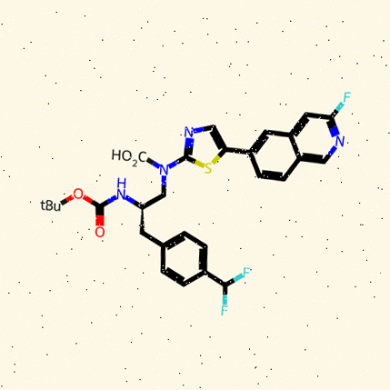 CC(C)(C)OC(=O)N[C@H](Cc1ccc(C(F)F)cc1)CN(C(=O)O)c1ncc(-c2ccc3cnc(F)cc3c2)s1